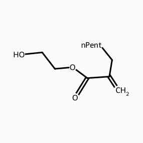 C=C(CCCCCC)C(=O)OCCO